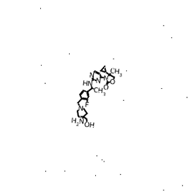 C[C@H](Nc1nccc(N2C(=O)OCC2(C)C2CC2)n1)c1ccc(CN2CCC(N)(CO)CC2)c(F)c1